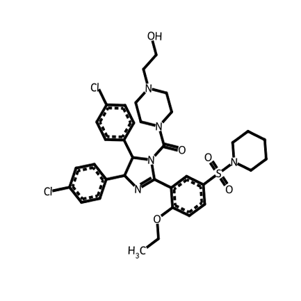 CCOc1ccc(S(=O)(=O)N2CCCCC2)cc1C1=NC(c2ccc(Cl)cc2)C(c2ccc(Cl)cc2)N1C(=O)N1CCN(CCO)CC1